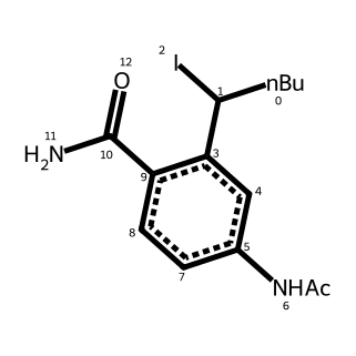 CCCCC(I)c1cc(NC(C)=O)ccc1C(N)=O